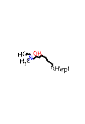 C#CCN(C)CC(O)C/C=C\CCCCCCCCC